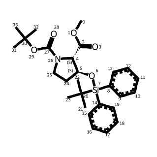 COC(=O)[C@@H]1[C@@H](O[Si](c2ccccc2)(c2ccccc2)C(C)(C)C)CCN1C(=O)OC(C)(C)C